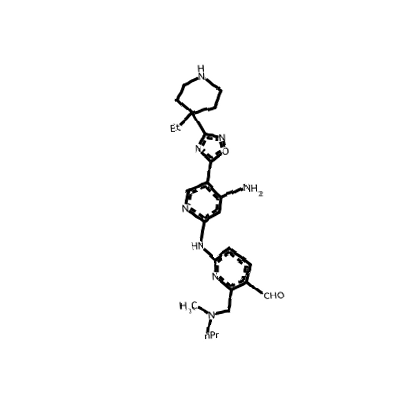 CCCN(C)Cc1nc(Nc2cc(N)c(-c3nc(C4(CC)CCNCC4)no3)cn2)ccc1C=O